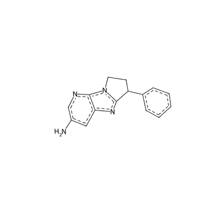 Nc1cnc2c(c1)nc1n2CCC1c1ccccc1